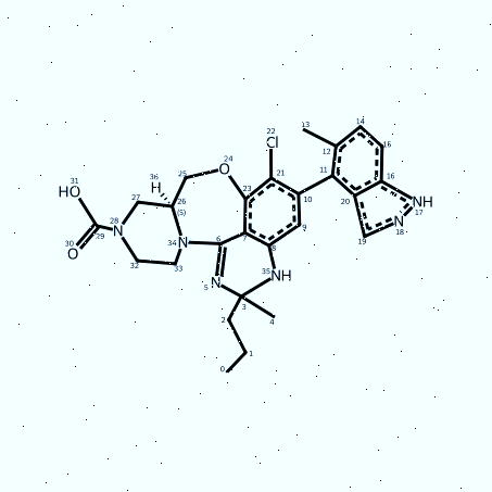 CCCC1(C)N=C2c3c(cc(-c4c(C)ccc5[nH]ncc45)c(Cl)c3OC[C@@H]3CN(C(=O)O)CCN23)N1